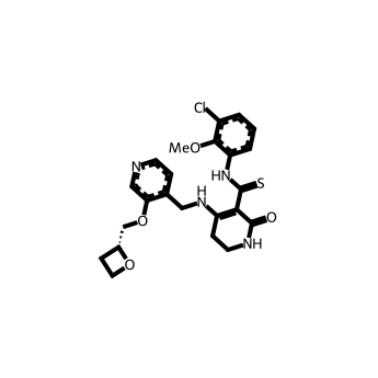 COc1c(Cl)cccc1NC(=S)C1=C(NCc2ccncc2OC[C@H]2CCO2)CCNC1=O